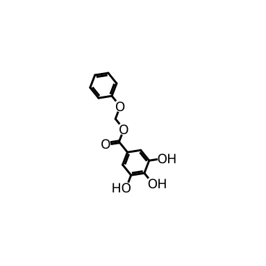 O=C(OCOc1ccccc1)c1cc(O)c(O)c(O)c1